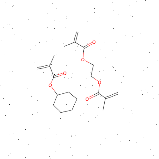 C=C(C)C(=O)OC1CCCCC1.C=C(C)C(=O)OCCOC(=O)C(=C)C